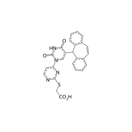 O=C(O)CSc1nccc(-n2cc(C3c4ccccc4C=Cc4ccccc43)c(=O)[nH]c2=O)n1